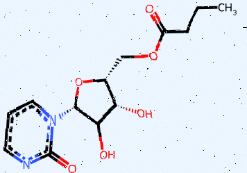 CCCC(=O)OC[C@H]1O[C@@H](n2cccnc2=O)C(O)[C@H]1O